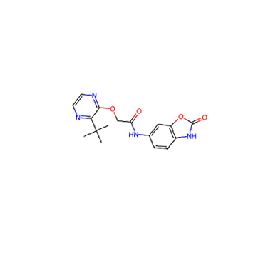 CC(C)(C)c1nccnc1OCC(=O)Nc1ccc2[nH]c(=O)oc2c1